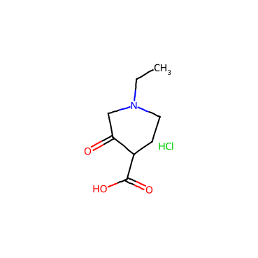 CCN1CCC(C(=O)O)C(=O)C1.Cl